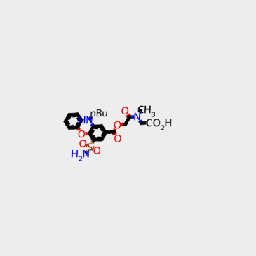 CCCCNc1cc(C(=O)OCC(=O)N(C)CC(=O)O)cc(S(N)(=O)=O)c1Oc1ccccc1